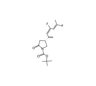 C=C(/C=C(F)\C=C(/C)F)[C@H]1CC(=O)N(C(=O)OC(C)(C)C)C1